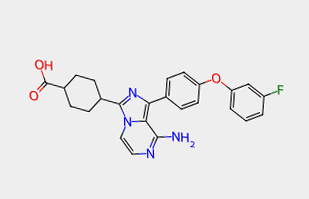 Nc1nccn2c(C3CCC(C(=O)O)CC3)nc(-c3ccc(Oc4cccc(F)c4)cc3)c12